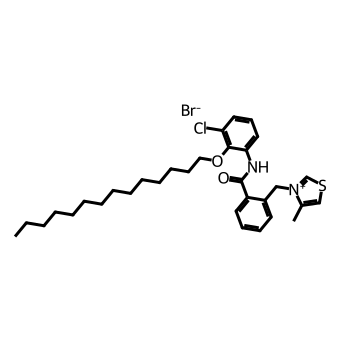 CCCCCCCCCCCCCCOc1c(Cl)cccc1NC(=O)c1ccccc1C[n+]1cscc1C.[Br-]